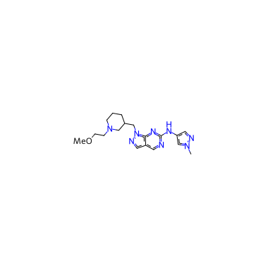 COCCN1CCCC(Cn2ncc3cnc(Nc4cnn(C)c4)nc32)C1